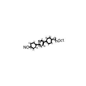 CCCCCCCCOC1CCC(c2cnc(C3CCC(C#N)CC3)nc2)CC1